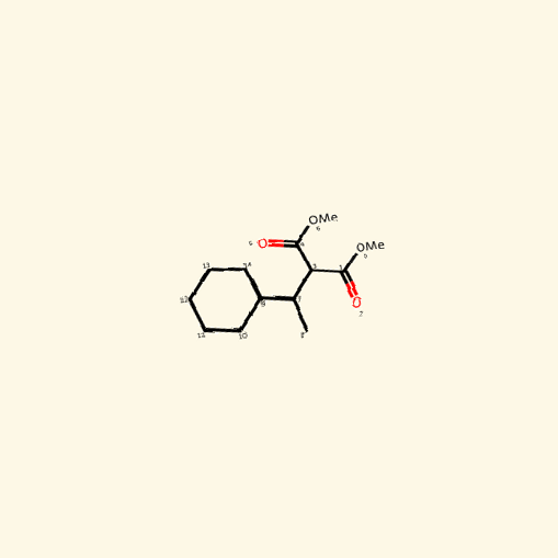 COC(=O)C(C(=O)OC)C(C)C1CCCCC1